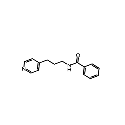 O=C(NCCCc1ccncc1)c1ccccc1